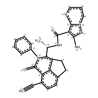 C#Cc1ccc2c3c(c([C@H](C)NC(=O)c4c(N)nn5cccnc45)n(-c4ccccc4)c(=O)c13)CC2